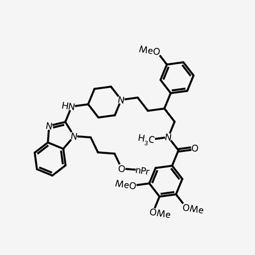 CCCOCCCn1c(NC2CCN(CCC(CN(C)C(=O)c3cc(OC)c(OC)c(OC)c3)c3cccc(OC)c3)CC2)nc2ccccc21